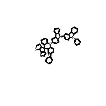 c1ccc(-n2c3ccccc3c3cc(-n4c5ccccc5c5cc(N6c7ccccc7C7(c8ccsc8-c8sccc87)c7c6ccc6c7sc7ccccc76)ccc54)ccc32)cc1